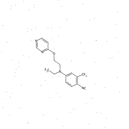 [C-]#[N+]c1ccc(N(CCOc2ccncn2)CC(F)(F)F)cc1C(F)(F)F